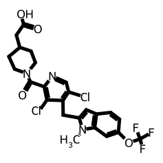 Cn1c(Cc2c(Cl)cnc(C(=O)N3CCC(CC(=O)O)CC3)c2Cl)cc2ccc(OC(F)(F)F)cc21